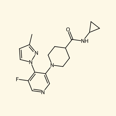 Cc1ccn(-c2c(F)cncc2N2CCC(C(=O)NC3CC3)CC2)n1